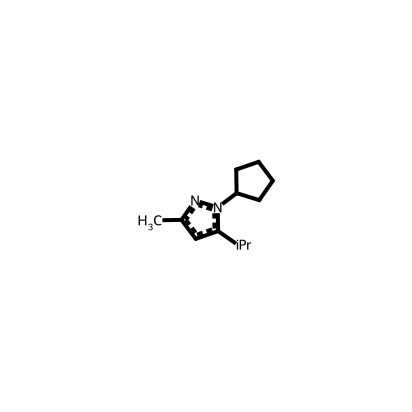 Cc1cc(C(C)C)n(C2CCCC2)n1